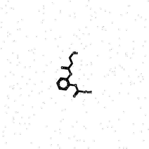 CCCCCC(=O)Oc1ccccc1OC(=O)CCC(C)(C)C